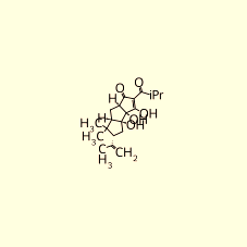 C=C(C)[C@H]1C[C@]2(O)[C@@H](C[C@@H]3C(=O)C(C(=O)C(C)C)=C(O)[C@@]32O)C1(C)C